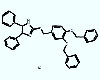 Cl.c1ccc(COc2ccc(CSC3=NC(c4ccccc4)C(c4ccccc4)N3)cc2OCc2ccccc2)cc1